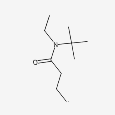 [CH2]CCC(=O)N(CC)C(C)(C)C